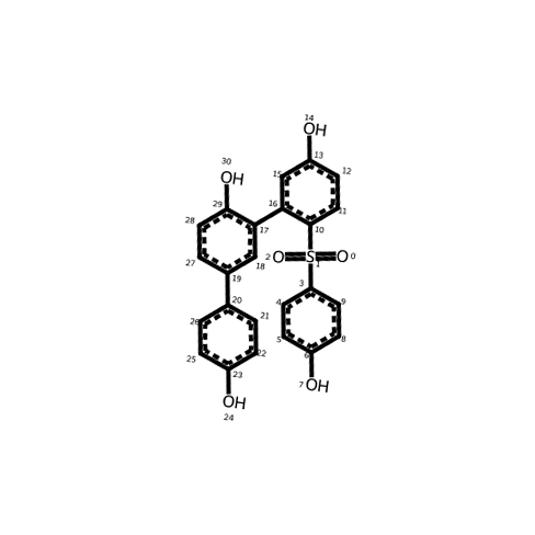 O=S(=O)(c1ccc(O)cc1)c1ccc(O)cc1-c1cc(-c2ccc(O)cc2)ccc1O